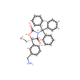 NCc1cccc([C@@]2(CBr)OC(=O)N(C(c3ccccc3)(c3ccccc3)c3ccccc3)C2=O)c1